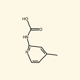 Cc1ccnc(NC(=O)O)c1